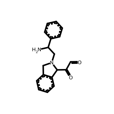 NC(CN1Cc2ccccc2C1C(=O)C=O)c1ccccc1